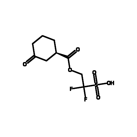 O=C1CCC[C@@H](C(=O)OCC(F)(F)S(=O)(=O)O)C1